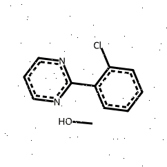 CO.Clc1ccccc1-c1ncccn1